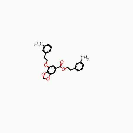 Cc1cccc(CCOC(=O)c2cc(OCCc3cccc(C)c3)c3c(c2)OCO3)c1